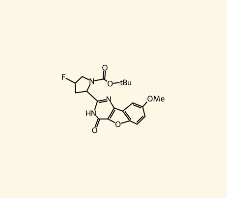 COc1ccc2oc3c(=O)[nH]c(C4CC(F)CN4C(=O)OC(C)(C)C)nc3c2c1